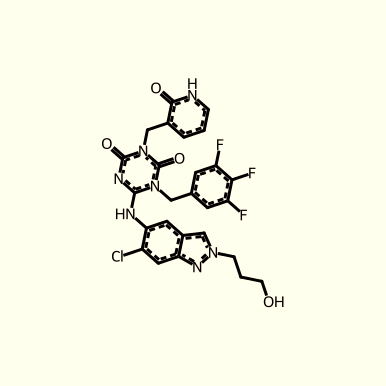 O=c1[nH]cccc1Cn1c(=O)nc(Nc2cc3cn(CCCO)nc3cc2Cl)n(Cc2cc(F)c(F)c(F)c2)c1=O